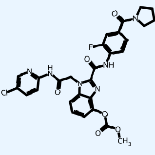 COC(=O)Oc1cccc2c1nc(C(=O)Nc1ccc(C(=O)N3CCCC3)cc1F)n2CC(=O)Nc1ccc(Cl)cn1